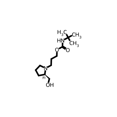 CC(C)(C)NC(=O)OCCCN1CCC[C@@H]1CO